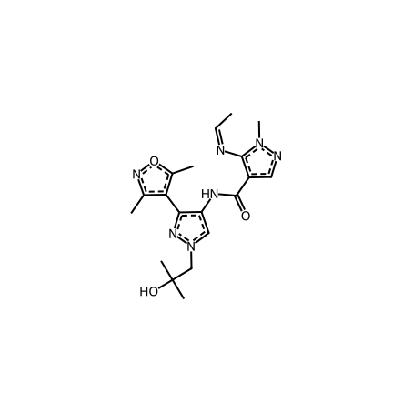 C/C=N\c1c(C(=O)Nc2cn(CC(C)(C)O)nc2-c2c(C)noc2C)cnn1C